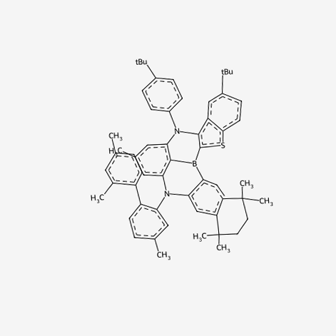 Cc1ccc(-c2ccc(C)cc2N2c3cc4c(cc3B3c5sc6ccc(C(C)(C)C)cc6c5N(c5ccc(C(C)(C)C)cc5)c5cc(C)cc2c53)C(C)(C)CCC4(C)C)c(C)c1